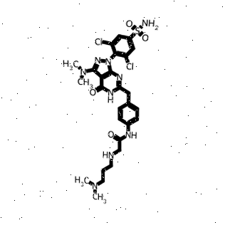 CN(C)CCCNCC(=O)Nc1ccc(Cc2nc3c(c(N(C)C)nn3-c3c(Cl)cc(S(N)(=O)=O)cc3Cl)c(=O)[nH]2)cc1